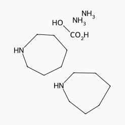 C1CCCNCC1.C1CCCNCC1.N.N.O=C(O)O